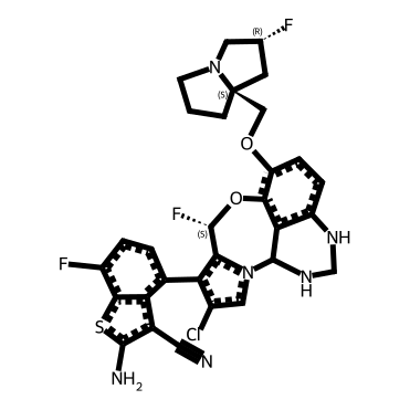 N#Cc1c(N)sc2c(F)ccc(-c3c(Cl)cn4c3[C@H](F)Oc3c(OC[C@@]56CCCN5C[C@H](F)C6)ccc5c3C4NCN5)c12